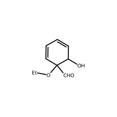 CCOC1(C=O)C=CC=CC1O